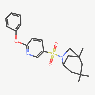 CC1(C)CC2CC(C)(CN2S(=O)(=O)c2ccc(Oc3ccccc3)nc2)C1